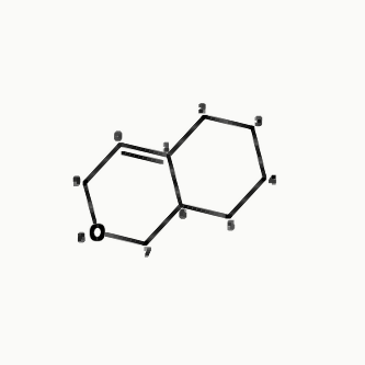 C1=C2CCCCC2COC1